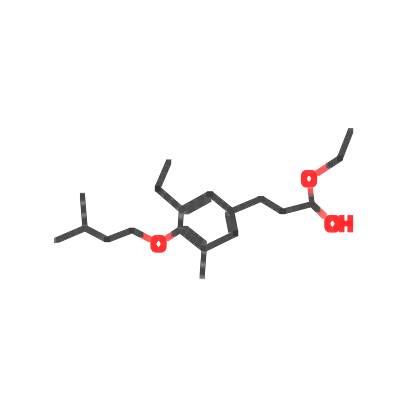 CCOC(O)CCc1cc(C)c(OCCC(C)C)c(CC)c1